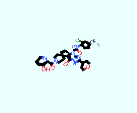 O=C(Cn1c2c(c(=O)n3nc(C4=CCOCC4)nc13)C1(C=C2)CCN(C(=O)c2ncccc2O)CC1)Nc1ccc(C(F)(F)F)cc1Cl